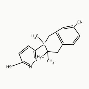 CC1(C)Cc2ccc(C#N)cc2CS1(C)c1ccc(S)nn1